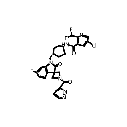 O=C(N[C@H]1CC[C@H](CN2C(=O)C3(CN(C(=O)c4cccnn4)C3)c3ccc(F)cc32)CC1)c1cc(Cl)cnc1C(F)F